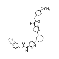 COc1ccc(CC(=O)Nc2ccc([C@H]3CCCC[C@H](c4ccc(NC(=O)Cc5ccc(OC)cc5)nn4)C3)nn2)cc1